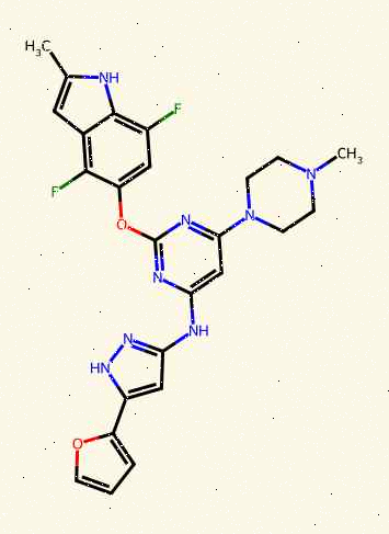 Cc1cc2c(F)c(Oc3nc(Nc4cc(-c5ccco5)[nH]n4)cc(N4CCN(C)CC4)n3)cc(F)c2[nH]1